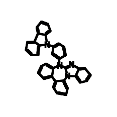 c1cc(N2c3ccccc3-c3ccccc3-n3c2nc2ccccc23)cc(-n2c3ccccc3c3ccccc32)c1